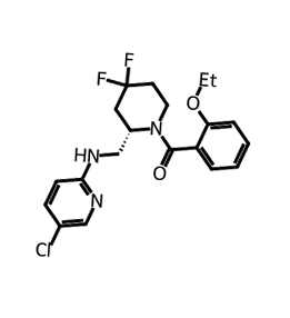 CCOc1ccccc1C(=O)N1CCC(F)(F)C[C@H]1CNc1ccc(Cl)cn1